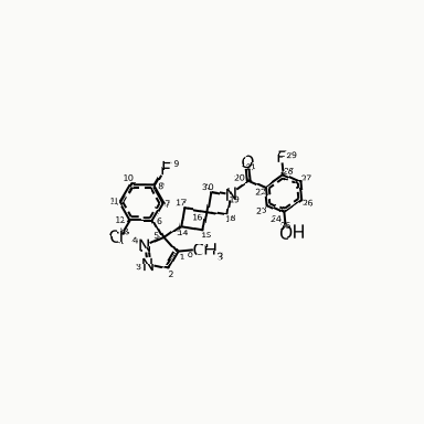 CC1=CN=NC1(c1cc(F)ccc1Cl)C1CC2(C1)CN(C(=O)c1cc(O)ccc1F)C2